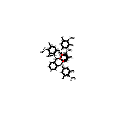 COc1c(C)cc(P(C2=CC=C[C@H]2[C@@H](c2ccccc2P(c2cc(C)c(OC)c(C)c2)c2cc(C)c(OC)c(C)c2)N(C)C)c2cc(C)c(OC)c(C)c2)cc1C